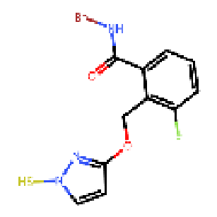 O=C(NBr)c1cccc(F)c1COc1ccn(S)n1